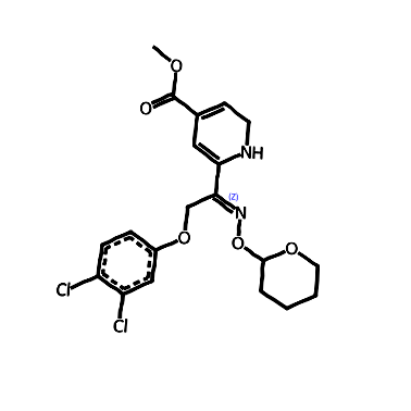 COC(=O)C1=CCNC(/C(COc2ccc(Cl)c(Cl)c2)=N/OC2CCCCO2)=C1